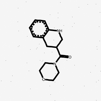 O=C(C1CNc2ccccc2C1)N1CCOCC1